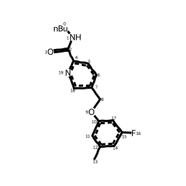 CCCCNC(=O)c1ccc(COc2cc(C)cc(F)c2)cn1